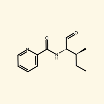 CC[C@H](C)[C@@H]([C]=O)NC(=O)c1ccccn1